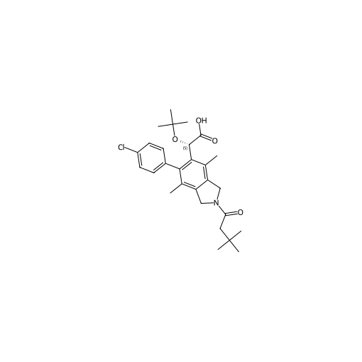 Cc1c2c(c(C)c([C@H](OC(C)(C)C)C(=O)O)c1-c1ccc(Cl)cc1)CN(C(=O)CC(C)(C)C)C2